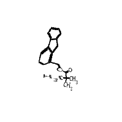 CC(C)(C)C(=O)OCc1cccc2c1Cc1ccccc1-2